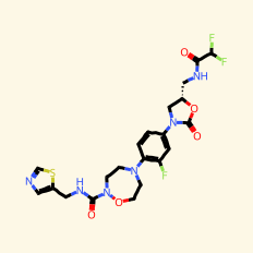 O=C(NC[C@H]1CN(c2ccc(N3CCON(C(=O)NCc4cncs4)CC3)c(F)c2)C(=O)O1)C(F)F